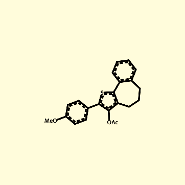 COc1ccc(-c2sc3c(c2OC(C)=O)CCCc2ccccc2-3)cc1